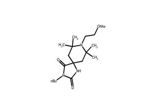 CCCCN1C(=O)NC2(CC(C)(C)N(CCOC)C(C)(C)C2)C1=O